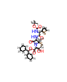 CC(C)(C)OC(=O)NC(C(=O)N[C@@H]1C(=O)N2C(C(=O)OC(c3ccccc3)c3ccccc3)=C(O)CS[C@@H]12)c1cccs1